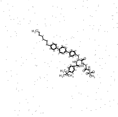 CCCCCCCc1ccc(-c2cnc(-c3ccc(C[C@H](NC(=O)c4ccc(C(C)(C)C)cc4)C(=O)NCC(=O)NS(C)(=O)=O)cc3)nc2)cc1